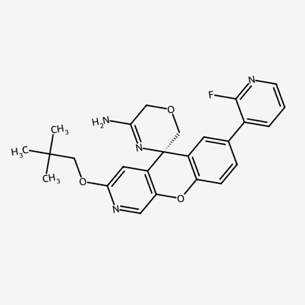 CC(C)(C)COc1cc2c(cn1)Oc1ccc(-c3cccnc3F)cc1[C@@]21COCC(N)=N1